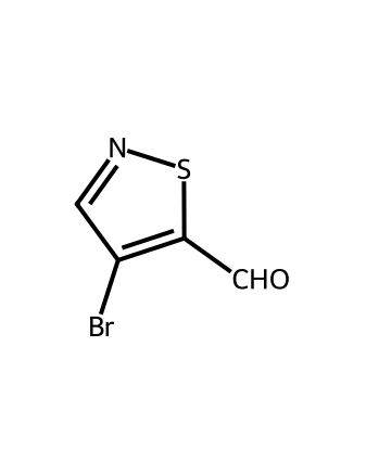 O=Cc1sncc1Br